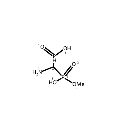 COP(=O)(O)C(N)[PH](=O)O